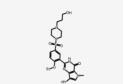 CCCc1cn(C)c2c(=O)[nH]c(-c3cc(S(=O)(=O)N4CCN(CCCO)CC4)ccc3OCC)nc12